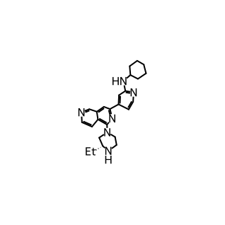 CC[C@@H]1CN(c2nc(-c3ccnc(NC4CCCCC4)c3)cc3cnccc23)CCN1